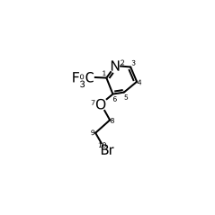 FC(F)(F)c1ncccc1OCCBr